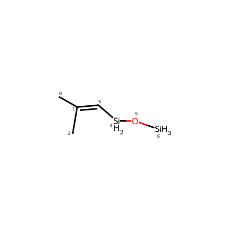 CC(C)=C[SiH2]O[SiH3]